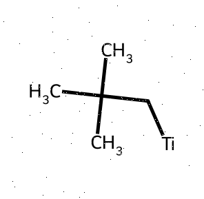 CC(C)(C)[CH2][Ti]